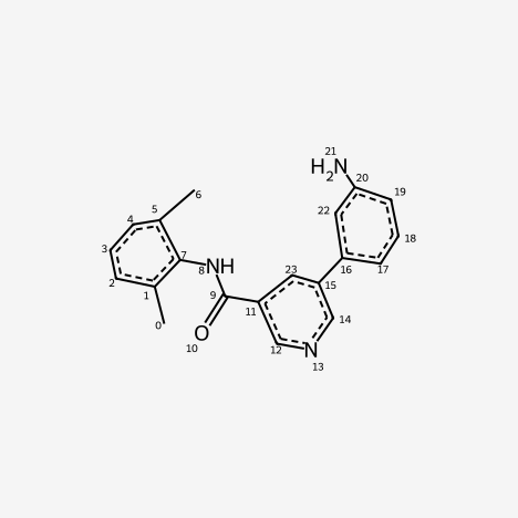 Cc1cccc(C)c1NC(=O)c1cncc(-c2cccc(N)c2)c1